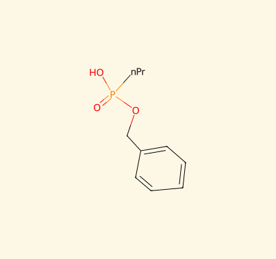 CCCP(=O)(O)OCc1ccccc1